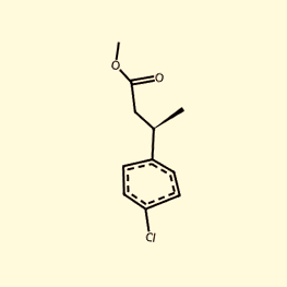 COC(=O)C[C@@H](C)c1ccc(Cl)cc1